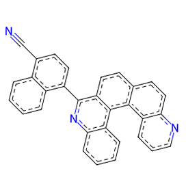 N#Cc1ccc(-c2nc3ccccc3c3c2ccc2ccc4ncccc4c23)c2ccccc12